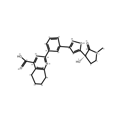 CN1CC[C@@](O)(c2cc(-c3cccc(-c4nc5c(c(C(=O)O)n4)CCCC5)c3)no2)C1=O